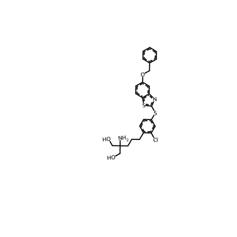 NC(CO)(CO)CCCc1ccc(Sc2nc3cc(OCc4ccccc4)ccc3s2)cc1Cl